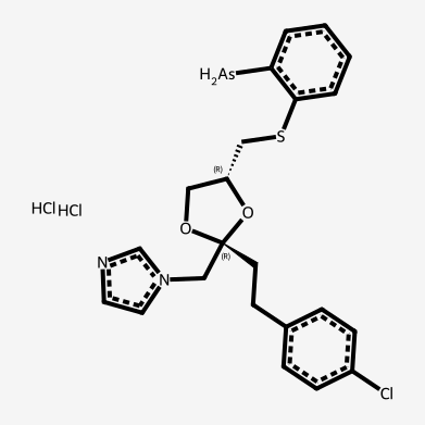 Cl.Cl.Clc1ccc(CC[C@@]2(Cn3ccnc3)OC[C@H](CSc3ccccc3[AsH2])O2)cc1